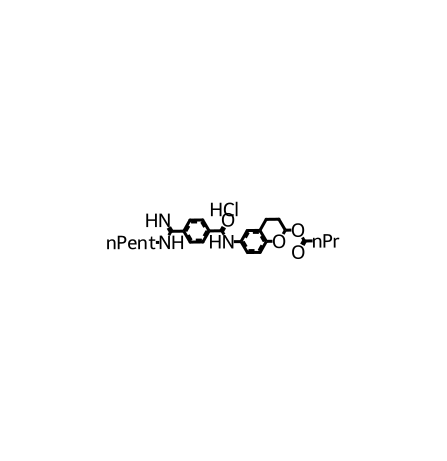 CCCCCNC(=N)c1ccc(C(=O)Nc2ccc3c(c2)CCC(OC(=O)CCC)O3)cc1.Cl